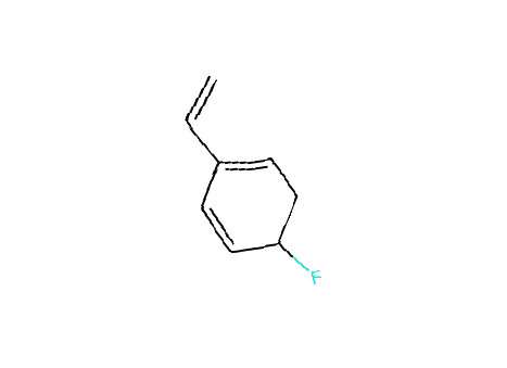 C=CC1=CCC(F)C=C1